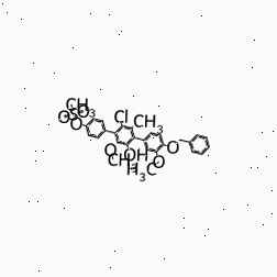 COc1cc(-c2c(C)c(Cl)c(-c3ccc(OS(C)(=O)=O)cc3)c(OC)c2O)ccc1OCc1ccccc1